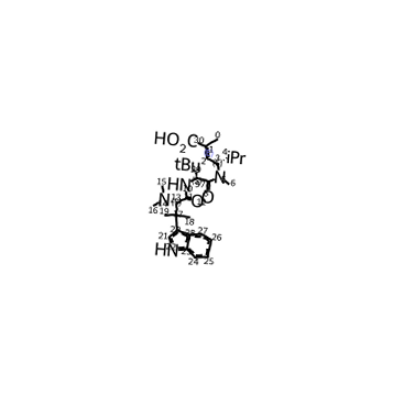 C/C(=C\[C@H](C(C)C)N(C)C(=O)[C@@H](NC(=O)[C@@H](N(C)C)C(C)(C)c1c[nH]c2ccccc12)C(C)(C)C)C(=O)O